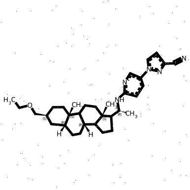 CCOC[C@H]1CC[C@]2(C)C3CC[C@@]4(C)C(CCC4[C@@H](C)Nc4ccc(-n5ccc(C#N)n5)cn4)[C@@H]3CC[C@@H]2C1